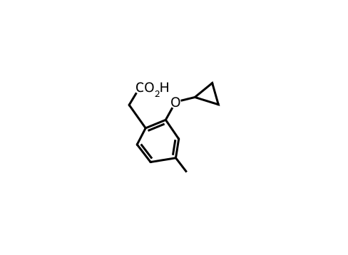 Cc1ccc(CC(=O)O)c(OC2CC2)c1